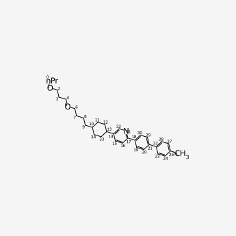 [CH2+][CH-]COCCCOCCCCC1CCC(c2ccc(-c3ccc(-c4ccc(C)cc4)cc3)nc2)CC1